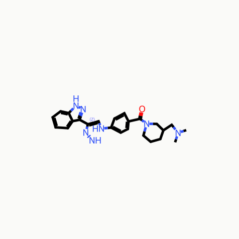 CN(C)CC1CCCN(C(=O)c2ccc(N/C=C(\N=N)c3n[nH]c4ccccc34)cc2)C1